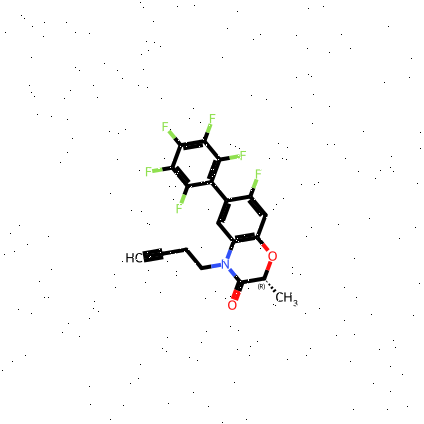 C#CCCN1C(=O)[C@@H](C)Oc2cc(F)c(-c3c(F)c(F)c(F)c(F)c3F)cc21